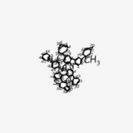 CC1(c2ccc3c(c2)c2cc(C4(C)CC=C5CC5C4)cc4c2n3-c2cc3c(oc5ccccc53)c3c2B4N(c2ccc(-c4ccccc4)cc2)c2ccc4sc5cc6ccccc6cc5c4c2-3)CC=C2CC2C1